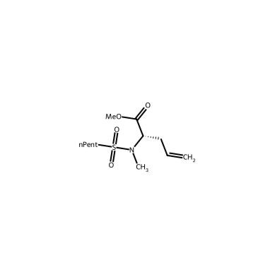 C=CC[C@@H](C(=O)OC)N(C)S(=O)(=O)CCCCC